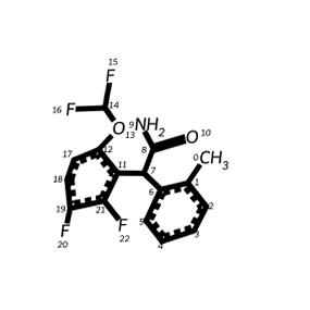 Cc1ccccc1C(C(N)=O)c1c(OC(F)F)ccc(F)c1F